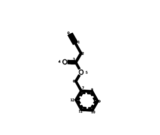 C#CCC(=O)OCc1ccccc1